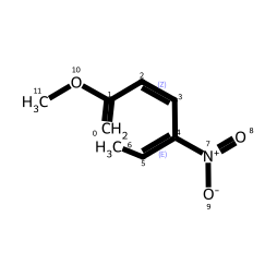 C=C(/C=C\C(=C/C)[N+](=O)[O-])OC